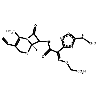 C=CC1=C(C(=O)O)N2C(=O)C(NC(=O)/C(=N/OCC(=O)O)c3nsc(NC=O)n3)[C@H]2SC1